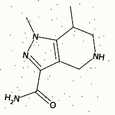 CC1CNCc2c(C(N)=O)nn(C)c21